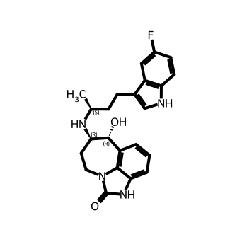 C[C@@H](CCc1c[nH]c2ccc(F)cc12)N[C@@H]1CCn2c(=O)[nH]c3cccc(c32)[C@H]1O